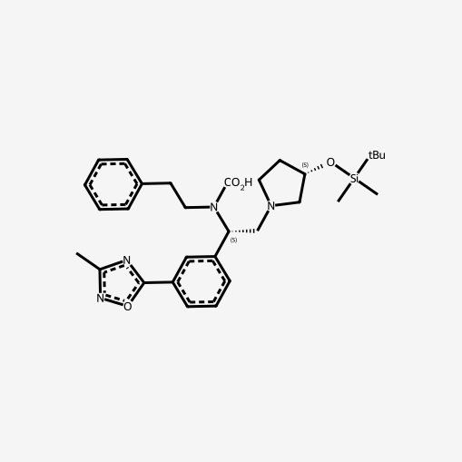 Cc1noc(-c2cccc([C@@H](CN3CC[C@H](O[Si](C)(C)C(C)(C)C)C3)N(CCc3ccccc3)C(=O)O)c2)n1